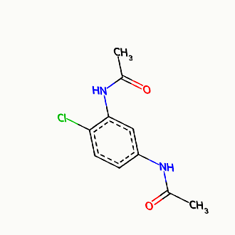 CC(=O)Nc1ccc(Cl)c(NC(C)=O)c1